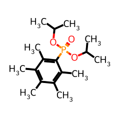 Cc1c(C)c(C)c(P(=O)(OC(C)C)OC(C)C)c(C)c1C